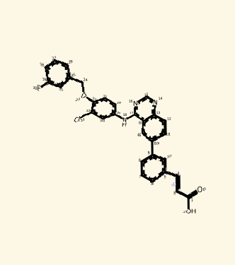 O=C(O)/C=C/c1cccc(-c2ccc3ncnc(Nc4ccc(OCc5cccc(F)c5)c(Cl)c4)c3c2)c1